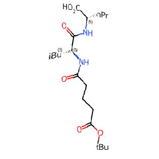 CCC[C@H](NC(=O)[C@@H](NC(=O)CCCC(=O)OC(C)(C)C)[C@@H](C)CC)C(=O)O